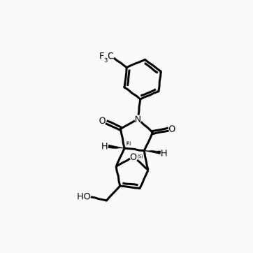 O=C1[C@@H]2C3C=C(CO)C(O3)[C@@H]2C(=O)N1c1cccc(C(F)(F)F)c1